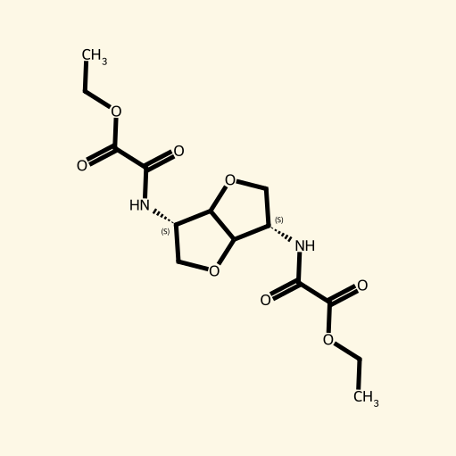 CCOC(=O)C(=O)N[C@H]1COC2C1OC[C@@H]2NC(=O)C(=O)OCC